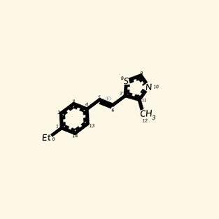 CCc1ccc(/C=C/c2scnc2C)cc1